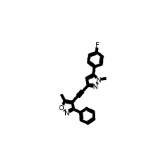 Cc1onc(-c2ccccc2)c1C#Cc1cc(-c2ccc(F)cc2)n(C)n1